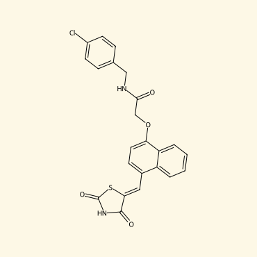 O=C(COc1ccc(/C=C2\SC(=O)NC2=O)c2ccccc12)NCc1ccc(Cl)cc1